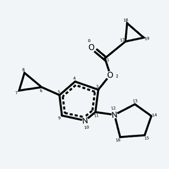 O=C(Oc1cc(C2CC2)cnc1N1CCCC1)C1CC1